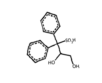 O=S(=O)(O)C(c1ccccc1)(c1ccccc1)C(O)CO